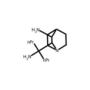 CCCC(N)(CCC)C1C(N)C2CCN1CC2